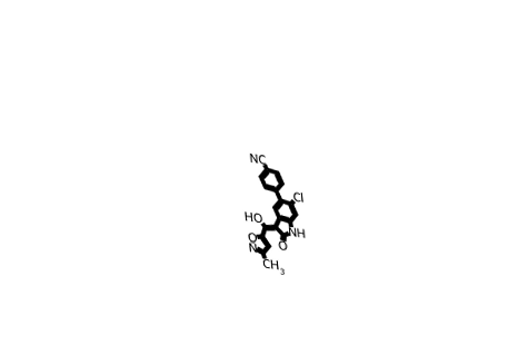 Cc1cc(C(O)=C2C(=O)Nc3cc(Cl)c(-c4ccc(C#N)cc4)cc32)on1